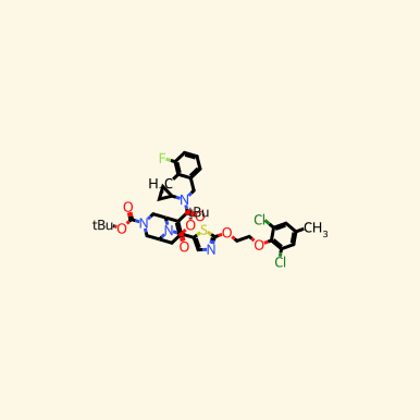 Cc1cc(Cl)c(OCCOc2ncc(C3=C(C(=O)N(Cc4cccc(F)c4C)C4CC4)C4CN(C(=O)OC(C)(C)C)CC(C3)N4C(=O)OC(C)(C)C)s2)c(Cl)c1